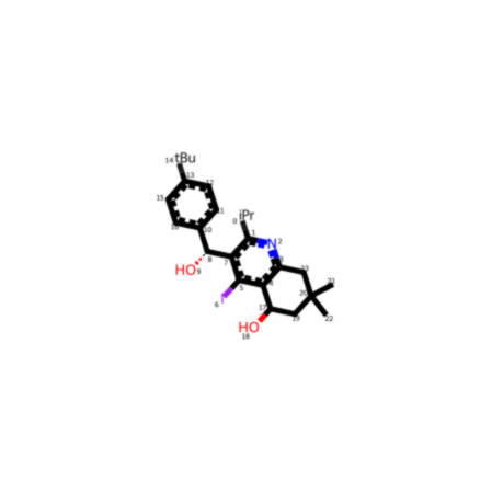 CC(C)c1nc2c(c(I)c1[C@H](O)c1ccc(C(C)(C)C)cc1)C(O)CC(C)(C)C2